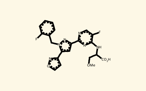 COCC(Nc1nc(-c2cc(-c3ccon3)n(Cc3ccccc3F)n2)ncc1F)C(=O)O